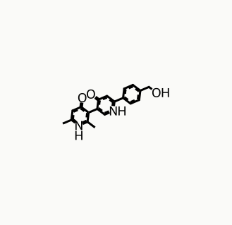 Cc1cc(=O)c(-c2c[nH]c(-c3ccc(CO)cc3)cc2=O)c(C)[nH]1